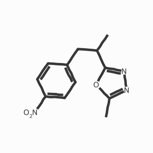 Cc1nnc(C(C)Cc2ccc([N+](=O)[O-])cc2)o1